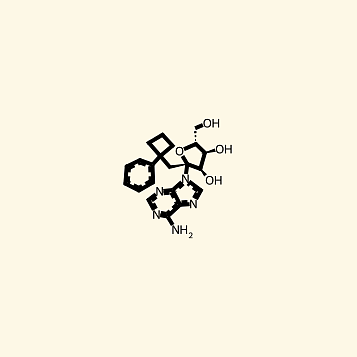 Nc1ncnc2c1ncn2[C@]1(CC2(c3ccccc3)CCC2)O[C@H](CO)[C@@H](O)[C@H]1O